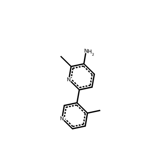 Cc1ccncc1-c1ccc(N)c(C)n1